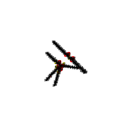 CCCCCCCCCCCCCCC(=S)OCC(COC(=O)CCSCCCCCCCCCCCC)(COC(=O)CCSCCCCCCCCCCCC)COC(=S)CCCCCCCCCCCCCC.CCCCCCCCCCCCCCCCCCOC(=O)CCSCCC(=O)OCCCCCCCCCCCCCCCCCC